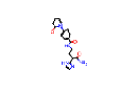 NC(=O)C([CH]CNC(=O)c1ccc(-n2ccccc2=O)cc1)c1ncc[nH]1